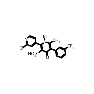 CCn1c(C)c(-c2cccc(C(F)(F)F)c2)c(=O)c(C(=O)O)c1-c1ccnc(Cl)c1